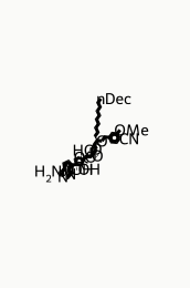 CCCCCCCCCCCCCCCCCCC[C@H](COP(=O)(O)OC[C@@]1(C)OC[C@](O)(c2ccc3c(N)ncnn23)[C@@H]1O)OCc1ccc(C#N)c(OC)c1